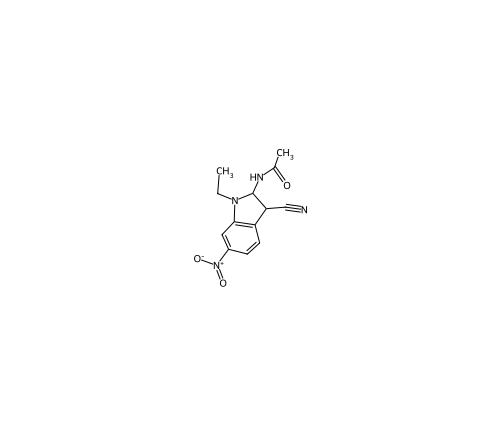 CCN1c2cc([N+](=O)[O-])ccc2C(C#N)C1NC(C)=O